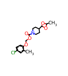 Cc1cc(Cl)ccc1OCOC(=O)N1CCC(C2OC(C)O2)CC1